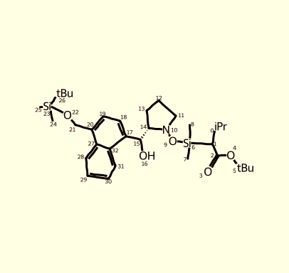 CC(C)C(C(=O)OC(C)(C)C)[Si](C)(C)ON1CCC[C@H]1C(O)c1ccc(CO[Si](C)(C)C(C)(C)C)c2ccccc12